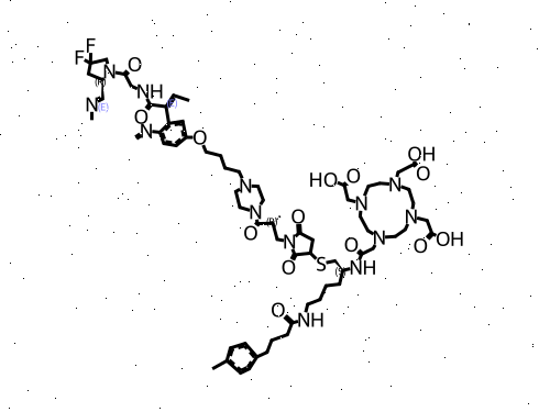 C=Nc1ccc(OCCCCN2CCN(C(=O)[C@H](C)CN3C(=O)CC(SC[C@H](CCCCNC(=O)CCCc4ccc(C)cc4)NC(=O)CN4CCN(CC(=O)O)CCN(CC(=O)O)CCN(CC(=O)O)CC4)C3=O)CC2)cc1/C(=C\C)C(=O)NCC(=O)N1CC(F)(F)C[C@@H]1/C=N/C